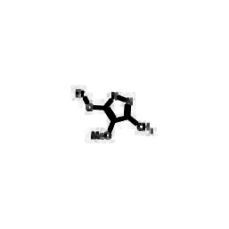 CCOC1=C(OC)C(C)=N[N]1